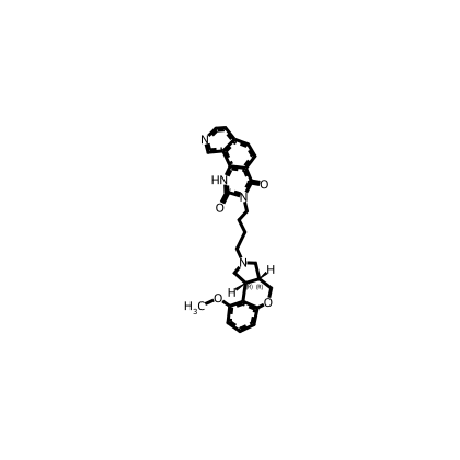 COc1cccc2c1[C@@H]1CN(CCCCn3c(=O)[nH]c4c(ccc5ccncc54)c3=O)C[C@@H]1CO2